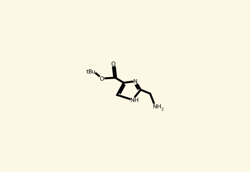 CC(C)(C)OC(=O)c1c[nH]c(CN)n1